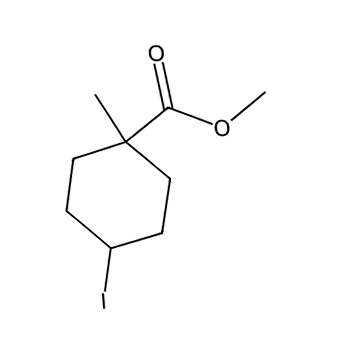 COC(=O)C1(C)CCC(I)CC1